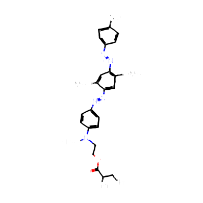 CCCCCCCCCCN(CCOC(=O)C(CC(C)C)C(C)C)c1ccc(/N=N/c2cc(OC)c(/N=N/c3ccc([N+](=O)[O-])cc3)cc2OC)cc1